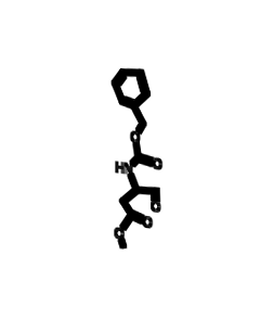 COC(=O)CC(C=O)NC(=O)OCc1ccccc1